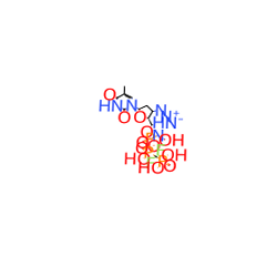 Cc1cn([C@H]2C[C@@H](N=[N+]=[N-])[C@@H](COP(=O)(NO)OP(=O)(O)C(F)(F)P(=O)(O)O)O2)c(=O)[nH]c1=O